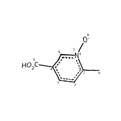 Cc1ccc(C(=O)O)c[n+]1[O-]